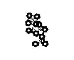 c1ccc(-n2c3ccccc3c3cc(-c4cccc5c6ccccc6n(-c6cccc7c8ccccc8n(-c8cccc([Si](c9ccccc9)(c9ccccc9)c9ccccc9)c8)c67)c45)ccc32)cc1